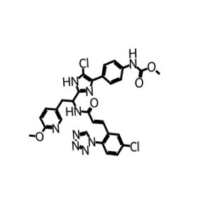 COC(=O)Nc1ccc(-c2nc(C(Cc3ccc(OC)nc3)NC(=O)C=Cc3cc(Cl)ccc3-n3cnnn3)[nH]c2Cl)cc1